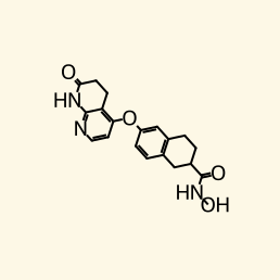 O=C1CCc2c(Oc3ccc4c(c3)CCC(C(=O)NO)C4)ccnc2N1